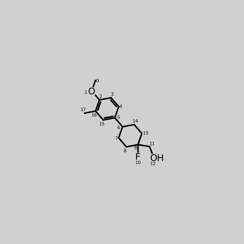 COc1ccc(C2CCC(F)(CO)CC2)cc1C